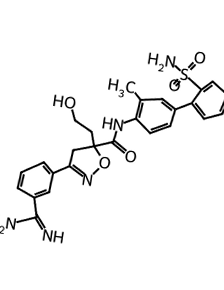 Cc1cc(-c2ccccc2S(N)(=O)=O)ccc1NC(=O)C1(CCO)CC(c2cccc(C(=N)N)c2)=NO1